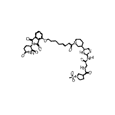 CS(=O)(=O)N1CCC(C(=O)NCC(=O)NC2NC(C3CCCN(C(=O)CCCCCCCOc4cccc5c4C(=O)N(C4CCC(=O)NC4=O)C5=O)C3)CS2)C1